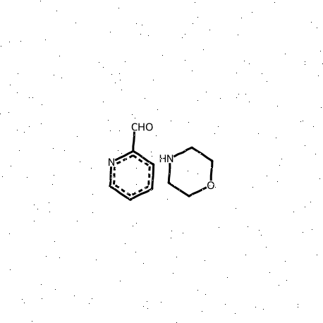 C1COCCN1.O=Cc1ccccn1